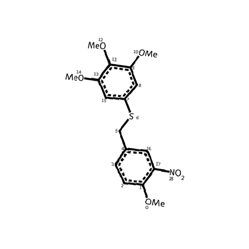 COc1ccc(CSc2cc(OC)c(OC)c(OC)c2)cc1[N+](=O)[O-]